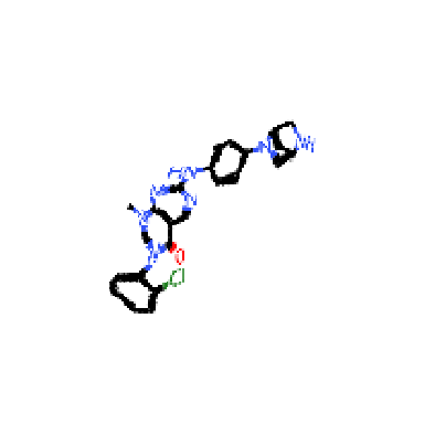 CN1CN(c2ccccc2Cl)C(=O)c2cnc(Nc3ccc(N4CC5CC4CN5)cc3)nc21